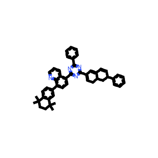 CC1(C)CCC(C)(C)c2cc(-c3ccc(-c4nc(C5=CCC6CC(c7ccccc7)C=CC6=C5)nc(-c5ccccc5)n4)c4cccnc34)ccc21